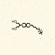 CC(C)(C)[Si](C)(C)OCCCCN1CCC2(CC1)CCN(C(CCO)CCO)CC2